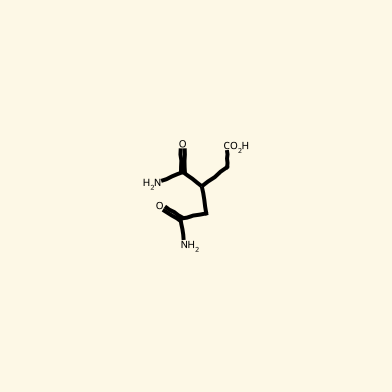 NC(=O)CC(CC(=O)O)C(N)=O